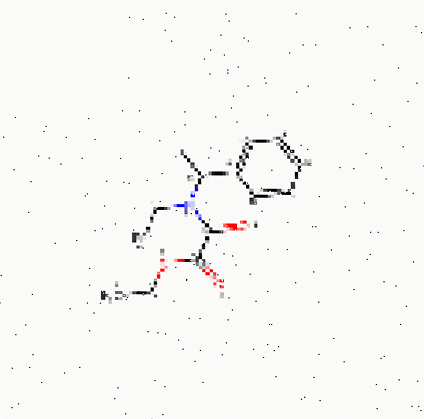 CC(C)CN(C(=O)C(=O)OCC(F)(F)F)C(C)c1ccccc1